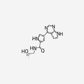 C[C@H](O)CNC(=O)c1cc(-c2ncnc3[nH]ccc23)c[nH]1